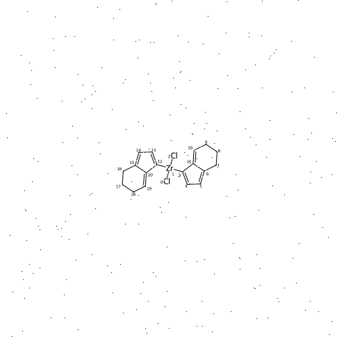 [Cl][Zr]([Cl])([C]1=CC=C2CCCC=C21)[C]1=CC=C2CCCC=C21